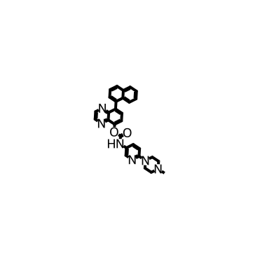 CN1CCN(c2ccc(NC(=O)Oc3ccc(-c4cccc5ccccc45)c4nccnc34)cn2)CC1